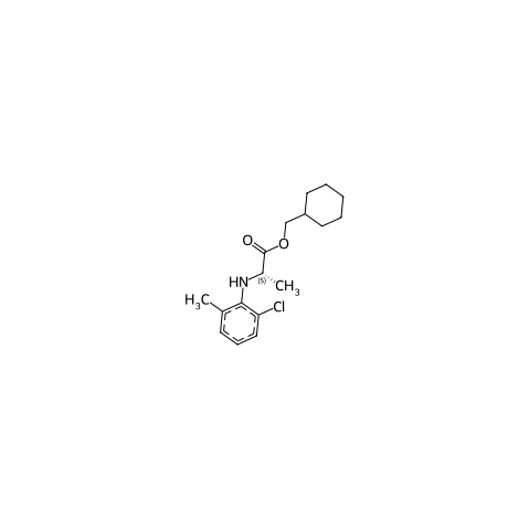 Cc1cccc(Cl)c1N[C@@H](C)C(=O)OCC1CCCCC1